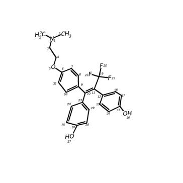 CN(C)CCOc1ccc(C(=C(c2ccc(O)cc2)C(F)(F)F)c2ccc(O)cc2)cc1